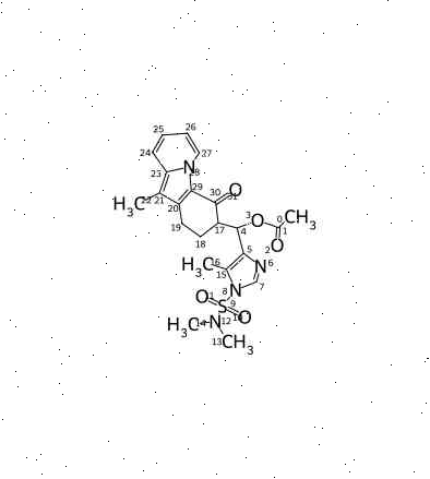 CC(=O)OC(c1ncn(S(=O)(=O)N(C)C)c1C)C1CCc2c(C)c3ccccn3c2C1=O